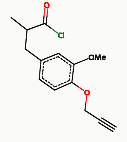 C#CCOc1ccc(CC(C)C(=O)Cl)cc1OC